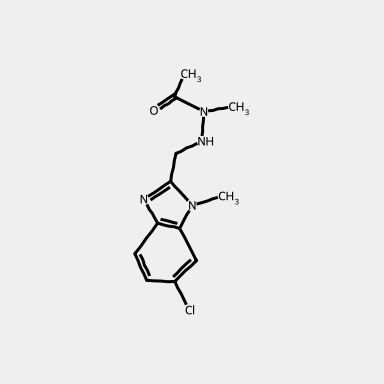 CC(=O)N(C)NCc1nc2ccc(Cl)cc2n1C